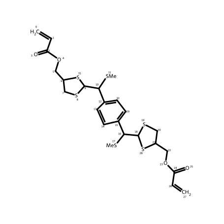 C=CC(=O)OCC1CSC(C(SC)c2ccc(C(SC)C3SCC(COC(=O)C=C)S3)cc2)S1